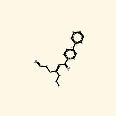 CCC/C(=C\C(=N)c1ccc(-c2ccccc2)cc1)CCC=O